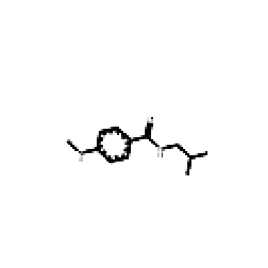 CNc1ccc(C(=O)NCC(C)C)cc1